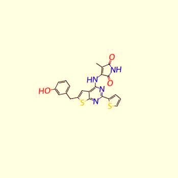 CC1=C(Nc2nc(-c3cccs3)nc3sc(Cc4cccc(O)c4)cc23)C(=O)NC1=O